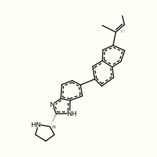 C/C=C(\C)c1ccc2ccc(-c3ccc4nc([C@@H]5CCCN5)[nH]c4c3)cc2c1